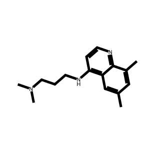 Cc1cc(C)c2nccc(NCCCN(C)C)c2c1